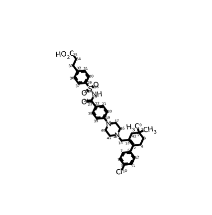 CC1(C)CCC(c2ccc(Cl)cc2)=C(CN2CCN(c3ccc(C(=O)NS(=O)(=O)c4ccc(CCC(=O)O)cc4)cc3)CC2)C1